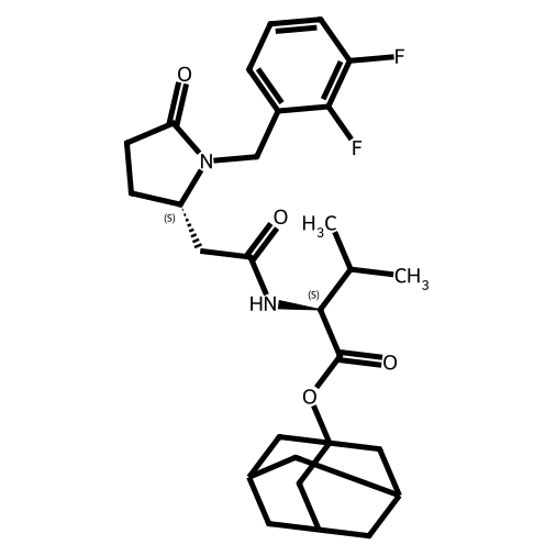 CC(C)[C@H](NC(=O)C[C@@H]1CCC(=O)N1Cc1cccc(F)c1F)C(=O)OC12CC3CC(CC(C3)C1)C2